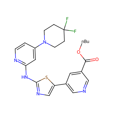 CCCCOC(=O)c1cncc(-c2cnc(Nc3cc(N4CCC(F)(F)CC4)ccn3)s2)c1